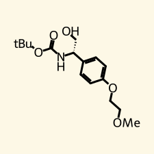 COCCOc1ccc([C@@H](CO)NC(=O)OC(C)(C)C)cc1